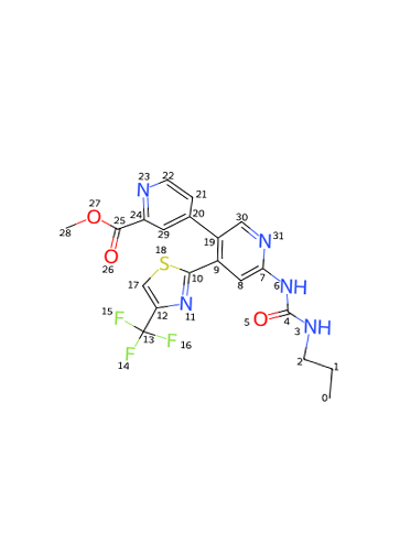 CCCNC(=O)Nc1cc(-c2nc(C(F)(F)F)cs2)c(-c2ccnc(C(=O)OC)c2)cn1